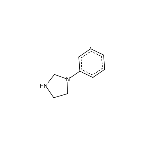 [c]1cccc(N2CCNC2)c1